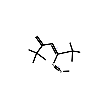 C=C(/C=C(\N=N/C)C(C)(C)C)C(C)(C)C